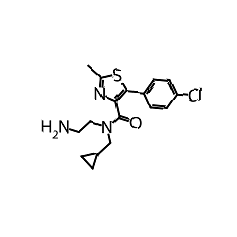 Cc1nc(C(=O)N(CCN)CC2CC2)c(-c2ccc(Cl)cc2)s1